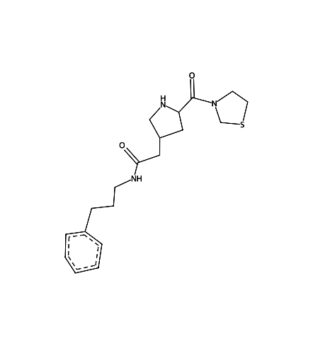 O=C(CC1CNC(C(=O)N2CCSC2)C1)NCCCc1ccccc1